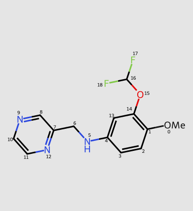 COc1ccc(NCc2cnccn2)cc1OC(F)F